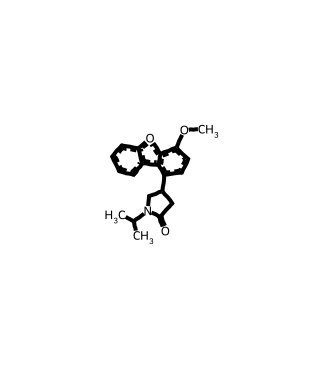 COc1ccc(C2CC(=O)N(C(C)C)C2)c2c1oc1ccccc12